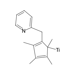 CC1=C(C)[C](C)([Ti])C(Cc2ccccn2)=C1C